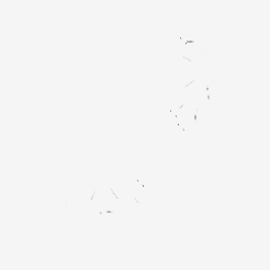 O=C(NCC1CCC(n2cc3ccc(-c4cncs4)cc3n2)CC1)c1cc(F)c(O)c(F)c1